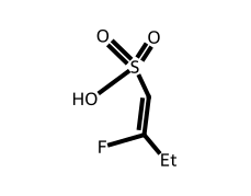 CCC(F)=CS(=O)(=O)O